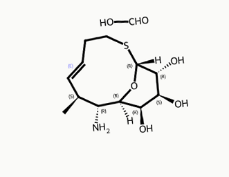 C[C@H]1/C=C/CCS[C@H]2O[C@H]([C@@H]1N)[C@H](O)[C@H](O)[C@H]2O.O=CO